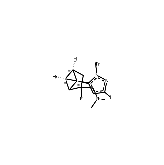 CC(C)n1nc(I)cc1[C@@]12C3[C@H]1[C@H]2CC3(F)CN(C)C